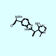 C=C(c1nc2ccc(C(=C=O)NC)cc2[nH]1)c1c(C)ncnc1N